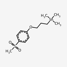 CS(=O)(=O)c1ccc(OCC[CH2][Sn]([CH3])([CH3])[CH3])cc1